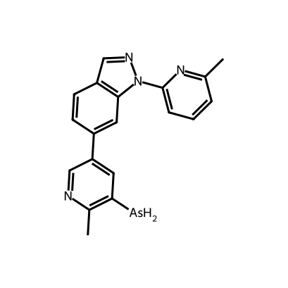 Cc1cccc(-n2ncc3ccc(-c4cnc(C)c([AsH2])c4)cc32)n1